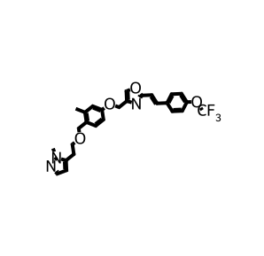 Cc1cc(OCc2coc(C=Cc3ccc(OC(F)(F)F)cc3)n2)ccc1COCCc1ccnn1C